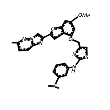 COc1cc(OCc2csc(Nc3cccc(N(C)C)c3)n2)c2cc(-c3cn4nc(C)ccc4n3)oc2c1